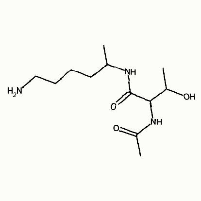 CC(=O)NC(C(=O)NC(C)CCCCN)C(C)O